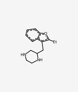 CCc1oc2ccccc2c1CC1CNCCN1